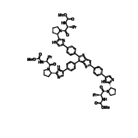 COC(=O)N[C@H](C(=O)N1CCCC1c1nc(-c2ccc(-c3sc4cc(-c5ccc(-c6cnc([C@@H]7CCCN7C(=O)[C@@H](NC(=O)OC)C(C)C)[nH]6)cc5)sc4c3-c3ccc(-c4cnc(C5CCCN5C(=O)[C@@H](NC(=O)OC)C(C)C)[nH]4)cc3)cc2)c[nH]1)C(C)C